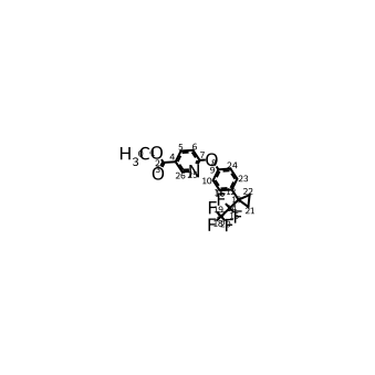 COC(=O)c1ccc(Oc2ccc(C3(C(F)(F)C(F)(F)F)CC3)cc2)nc1